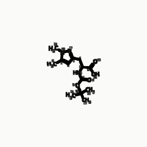 Cc1cc(CC(NC(=O)OC(C)(C)C)C(=O)O)nn1C